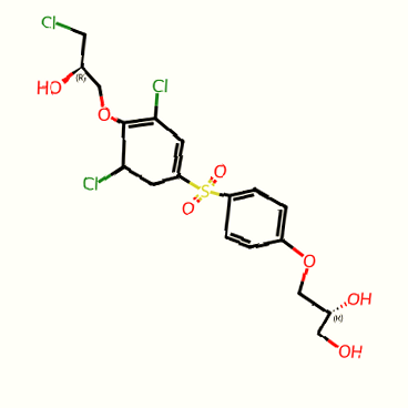 O=S(=O)(C1=CC(Cl)=C(OC[C@@H](O)CCl)C(Cl)C1)c1ccc(OC[C@H](O)CO)cc1